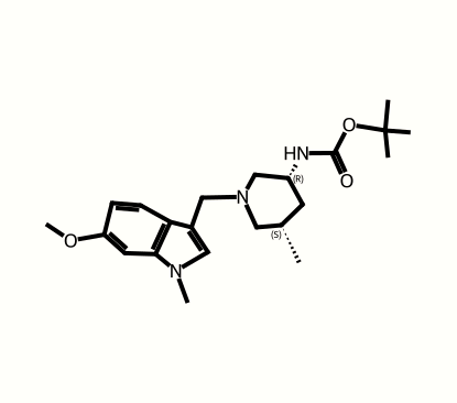 COc1ccc2c(CN3C[C@@H](C)C[C@@H](NC(=O)OC(C)(C)C)C3)cn(C)c2c1